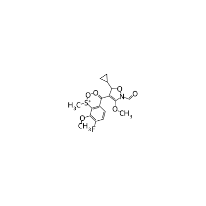 COC1=C(C(=O)c2ccc(F)c(OC)c2[S+](C)[O-])C(C2CC2)ON1C=O